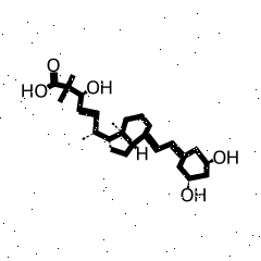 C[C@H](/C=C/[C@H](O)C(C)(C)C(=O)O)[C@H]1CC[C@H]2/C(=C/C=C3C[C@@H](O)C[C@H](O)C3)CCC[C@]12C